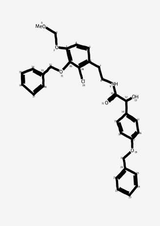 COCOc1ccc(CCNC(=O)C(O)c2ccc(OCc3ccccc3)cc2)c(Cl)c1OCc1ccccc1